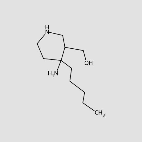 CCCCCC1(N)CCNCC1CO